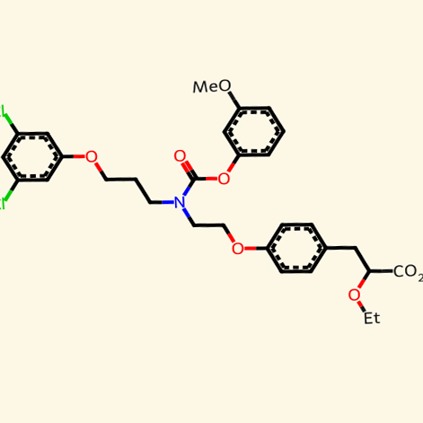 CCOC(Cc1ccc(OCCN(CCCOc2cc(Cl)cc(Cl)c2)C(=O)Oc2cccc(OC)c2)cc1)C(=O)O